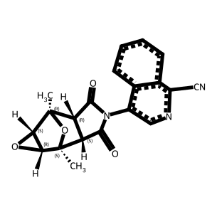 C[C@]12O[C@](C)([C@@H]3O[C@@H]31)[C@H]1C(=O)N(c3cnc(C#N)c4ccccc34)C(=O)[C@H]12